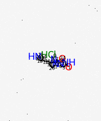 Cl.O=C1CCN(c2cnc3c(CCC4CCNCC4)cccn23)C(=O)N1